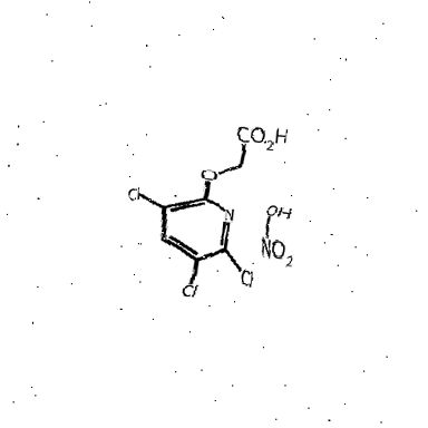 O=C(O)COc1nc(Cl)c(Cl)cc1Cl.O=[N+]([O-])O